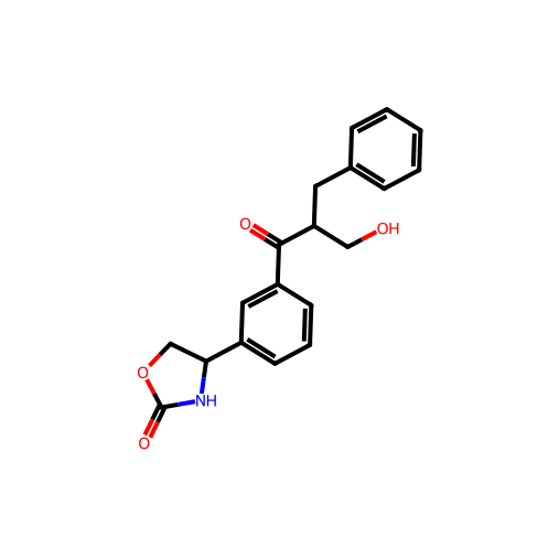 O=C1NC(c2cccc(C(=O)C(CO)Cc3ccccc3)c2)CO1